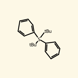 CC(C)(C)S(c1ccccc1)(c1ccccc1)C(C)(C)C